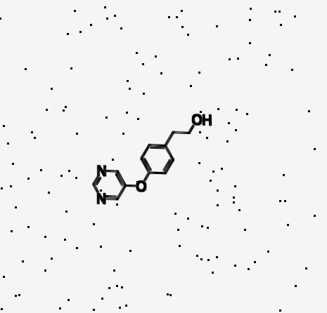 OCCc1ccc(Oc2cncnc2)cc1